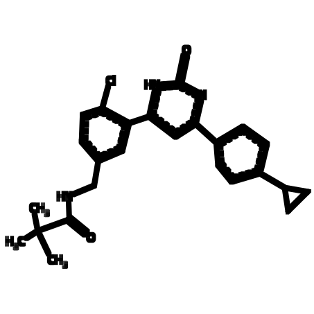 CC(C)(C)C(=O)NCc1ccc(Cl)c(-c2cc(-c3ccc(C4CC4)cc3)nc(=O)[nH]2)c1